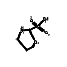 O=S(=O)(O)C1NC[CH]O1